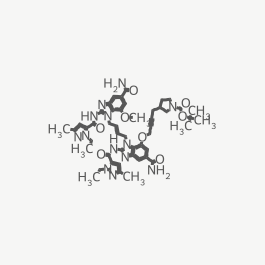 CCn1nc(C)cc1C(=O)Nc1nc2cc(C(N)=O)cc(OC)c2n1C/C=C/Cn1c(NC(=O)c2cc(C)nn2CC)nc2cc(C(N)=O)cc(OCC#CCC3CCN(C(=O)OC(C)(C)C)C3)c21